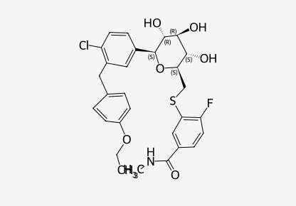 CCOc1ccc(Cc2cc([C@@H]3O[C@H](CSc4cc(C(=O)NC)ccc4F)[C@@H](O)[C@H](O)[C@H]3O)ccc2Cl)cc1